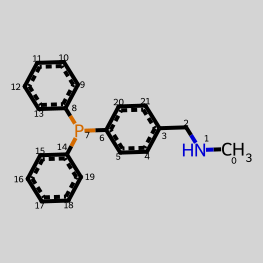 CNCc1ccc(P(c2ccccc2)c2ccccc2)cc1